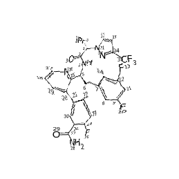 CC(C)[C@@H](C(=O)N[C@@H](Cc1cc(F)cc(F)c1)c1ncccc1-c1ccc(F)c(C(N)=O)c1)n1ccc(C(F)(F)F)n1